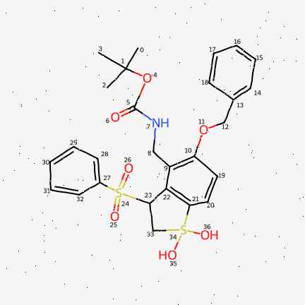 CC(C)(C)OC(=O)NCc1c(OCc2ccccc2)ccc2c1C(S(=O)(=O)c1ccccc1)CS2(O)O